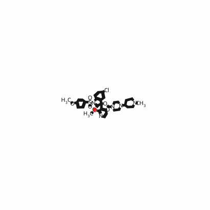 COc1ccc(S(=O)(=O)N2C(=O)C(OC(=O)N3CCN(C4CCN(C)CC4)CC3)(c3cccnc3OC)c3cc(Cl)ccc32)cc1